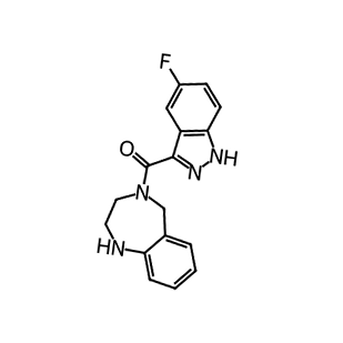 O=C(c1n[nH]c2ccc(F)cc12)N1CCNc2ccccc2C1